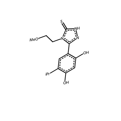 COCCn1c(-c2cc(C(C)C)c(O)cc2O)n[nH]c1=S